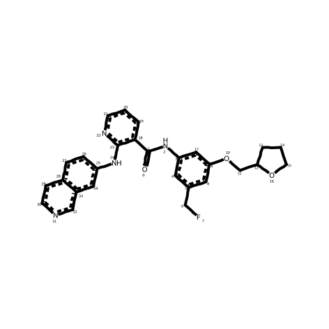 O=C(Nc1cc(CF)cc(OCC2CCCO2)c1)c1cccnc1Nc1ccc2ccncc2c1